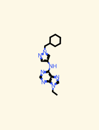 CCn1cnc2c(Nc3cnn(CC4CCCCC4)c3)ncnc21